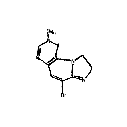 CSN1C=NC2=C(C1)N1CCN=C1C(Br)=C2